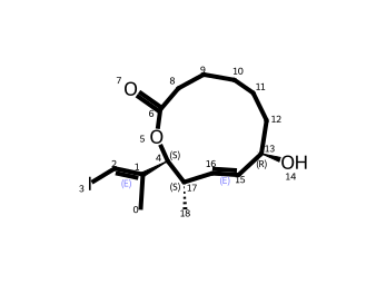 C/C(=C\I)[C@H]1OC(=O)CCCCC[C@@H](O)/C=C/[C@@H]1C